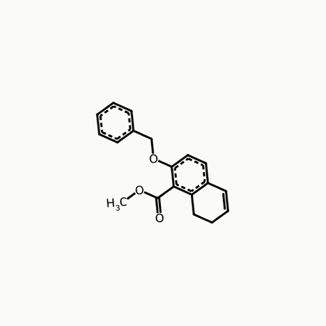 COC(=O)c1c(OCc2ccccc2)ccc2c1CCC=C2